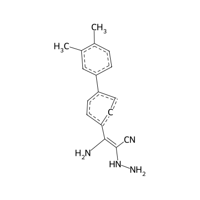 Cc1ccc(-c2ccc(/C(N)=C(\C#N)NN)cc2)cc1C